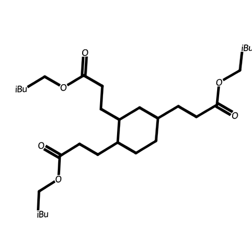 CCC(C)COC(=O)CCC1CCC(CCC(=O)OCC(C)CC)C(CCC(=O)OCC(C)CC)C1